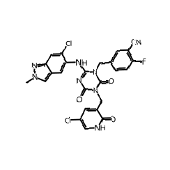 Cn1cc2cc(Nc3nc(=O)n(Cc4cc(Cl)c[nH]c4=O)c(=O)n3Cc3ccc(F)c(C#N)c3)c(Cl)cc2n1